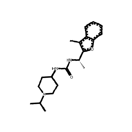 Cc1c([C@H](C)NC(=O)NC2CCN(C(C)C)CC2)oc2ccccc12